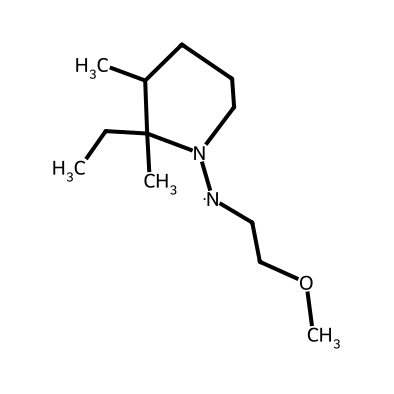 CCC1(C)C(C)CCCN1[N]CCOC